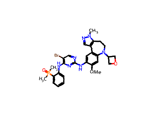 COc1cc2c(cc1Nc1ncc(Br)c(Nc3ccccc3P(C)(C)=O)n1)-c1cnn(C)c1CCN2C1COC1